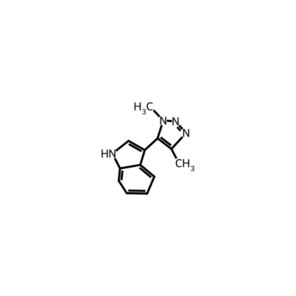 Cc1nnn(C)c1-c1c[nH]c2ccccc12